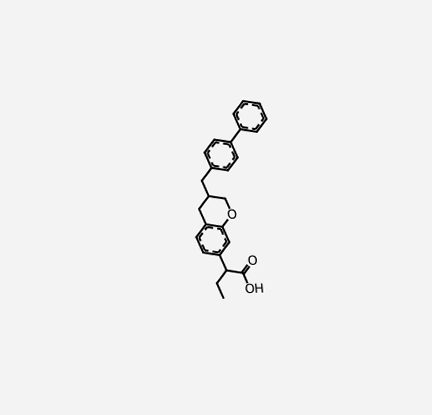 CCC(C(=O)O)c1ccc2c(c1)OCC(Cc1ccc(-c3ccccc3)cc1)C2